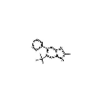 Cc1nc2cc(-c3ccccc3)c(C(C)(C)C)cc2s1